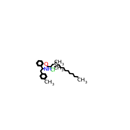 CCCCCCCCCC[Si](C)(C)CC(Cl)C(=O)NC(Cc1ccc(C)cc1)c1ccccc1